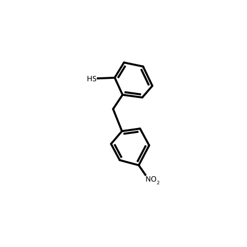 O=[N+]([O-])c1ccc(Cc2ccccc2S)cc1